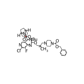 C[C@@H](COc1nc(N2C[C@H]3CC[C@@H](C2)N3C(=O)OC(C)(C)C)c2cnc(Cl)c(F)c2n1)CN1CCN(C(=O)OCc2ccccc2)CC1